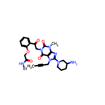 CC#CCn1c(N2CCCC(N)C2)nc2c1c(=O)n(CC(=O)c1ccccc1OCC(=O)NCC)c(=O)n2C